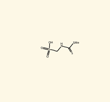 CSC(=S)NCS(=O)(=O)O